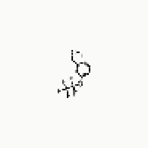 CCc1cccc(OC(F)(F)C(F)(F)F)c1